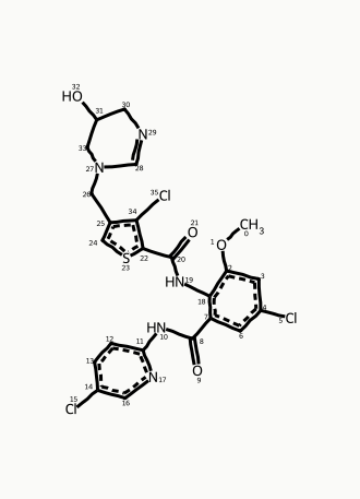 COc1cc(Cl)cc(C(=O)Nc2ccc(Cl)cn2)c1NC(=O)c1scc(CN2C=NCC(O)C2)c1Cl